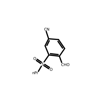 CCCS(=O)(=O)c1cc(C#N)ccc1C=O